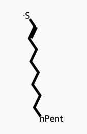 CCCCCCCCCCCC=C[S]